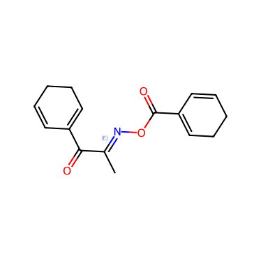 C/C(=N\OC(=O)C1=CCCC=C1)C(=O)C1=CCCC=C1